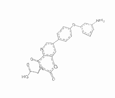 Nc1cccc(Oc2ccc(-c3cnc4c(=O)n(CC(=O)O)c(=O)oc4c3)cc2)c1